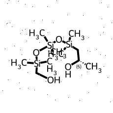 C[C@H](O)C[Si](C)(C)O[Si](C)(C)O[Si](C)(C)CO